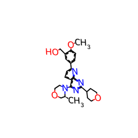 COc1ccc(-c2ccc3c(N4CCOC[C@@H]4C)nc(C4CCOCC4)nc3n2)cc1CO